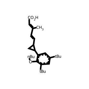 CCCCOc1c(C2CC2/C=C/C(C)=C/C(=O)O)cc(C(C)(C)C)cc1C(C)(C)C